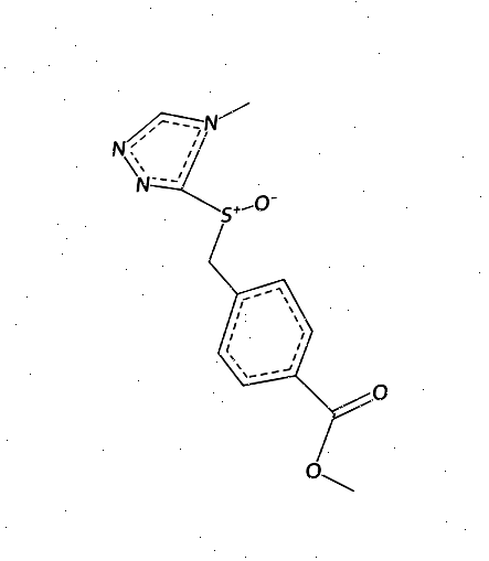 COC(=O)c1ccc(C[S+]([O-])c2nncn2C)cc1